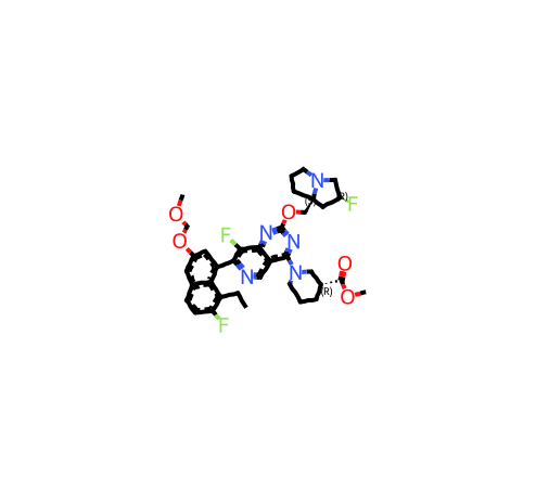 CCc1c(F)ccc2cc(OCOC)cc(-c3ncc4c(N5CCC[C@@H](C(=O)OC)C5)nc(OC[C@@]56CCCN5C[C@H](F)C6)nc4c3F)c12